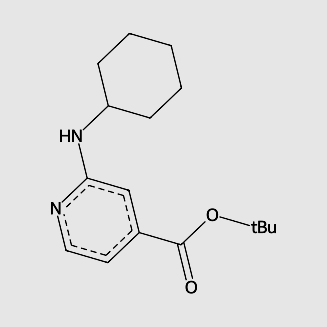 CC(C)(C)OC(=O)c1ccnc(NC2CCCCC2)c1